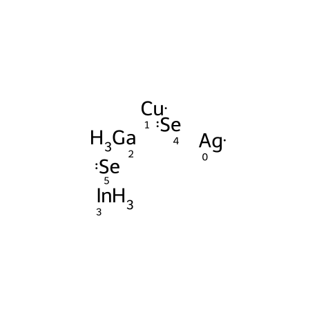 [Ag].[Cu].[GaH3].[InH3].[Se].[Se]